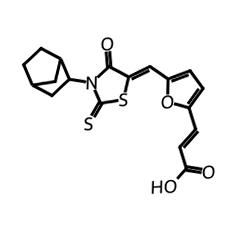 O=C(O)C=Cc1ccc(C=C2SC(=S)N(C3CC4CCC3C4)C2=O)o1